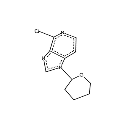 Clc1nccc2c1ncn2C1CCCCO1